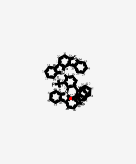 Fc1cccc(F)c1-c1ccc(-n2c3ccccc3c3ccc4sc5ccccc5c4c32)c(C(F)(F)F)c1-n1c2ccccc2c2ccc3sc4ccccc4c3c21